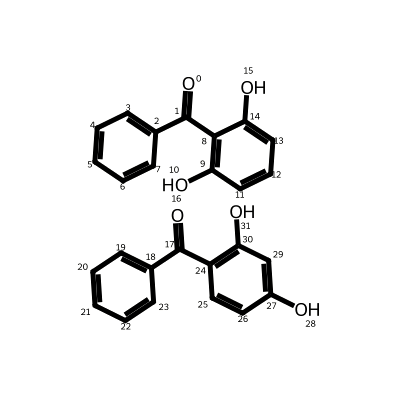 O=C(c1ccccc1)c1c(O)cccc1O.O=C(c1ccccc1)c1ccc(O)cc1O